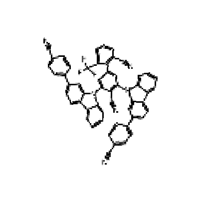 N#Cc1ccc(-c2ccc3c4ccccc4n(-c4cc(-c5c(C#N)cccc5C(F)(F)F)cc(-n5c6ccccc6c6ccc(-c7ccc(C#N)cc7)cc65)c4C#N)c3c2)cc1